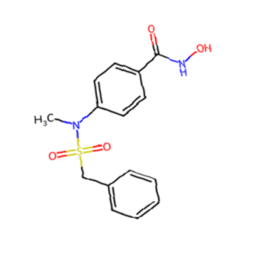 CN(c1ccc(C(=O)NO)cc1)S(=O)(=O)Cc1ccccc1